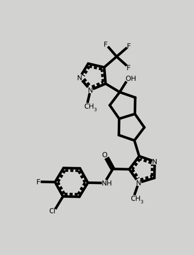 Cn1cnc(C2CC3CC(O)(c4c(C(F)(F)F)cnn4C)CC3C2)c1C(=O)Nc1ccc(F)c(Cl)c1